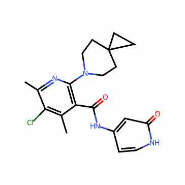 Cc1nc(N2CCC3(CC2)CC3)c(C(=O)Nc2cc[nH]c(=O)c2)c(C)c1Cl